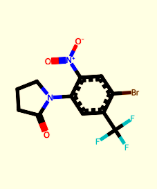 O=C1CCCN1c1cc(C(F)(F)F)c(Br)cc1[N+](=O)[O-]